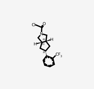 O=C(Cl)N1C[C@H]2C[C@@H](c3ccccc3C(F)(F)F)C[C@H]2C1